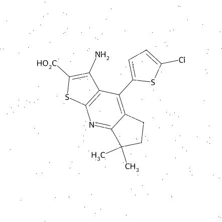 CC1(C)CCc2c1nc1sc(C(=O)O)c(N)c1c2-c1ccc(Cl)s1